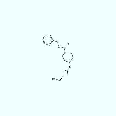 O=C(OCc1ccccc1)N1CCC(O[C@H]2C[C@H](CBr)C2)CC1